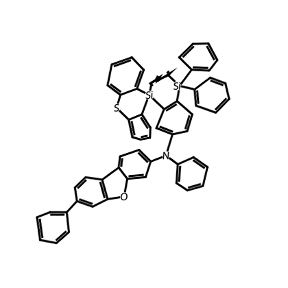 c1ccc(-c2ccc3c(c2)oc2cc(N(c4ccccc4)c4ccc5c(c4)[Si]4(c6ccccc6Sc6ccccc64)c4ccccc4[Si]5(c4ccccc4)c4ccccc4)ccc23)cc1